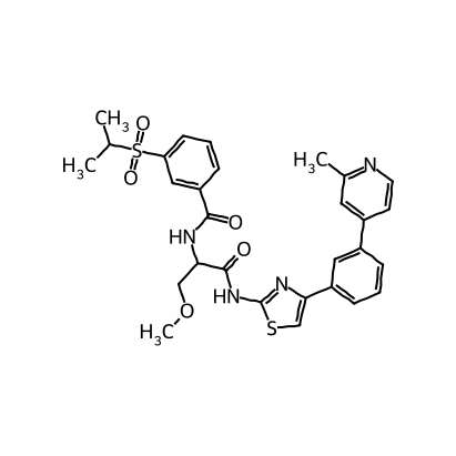 COCC(NC(=O)c1cccc(S(=O)(=O)C(C)C)c1)C(=O)Nc1nc(-c2cccc(-c3ccnc(C)c3)c2)cs1